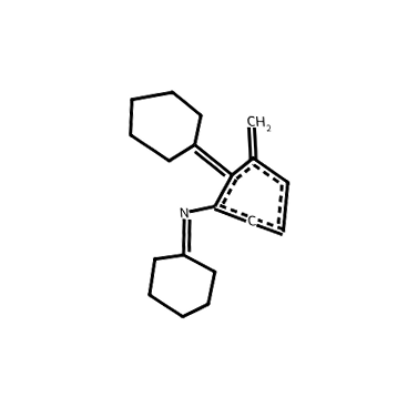 C=c1cccc(N=C2CCCCC2)c1=C1CCCCC1